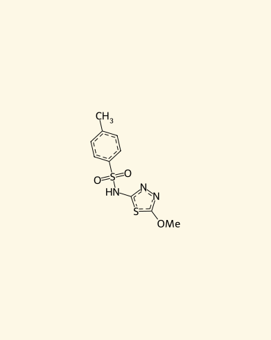 COc1nnc(NS(=O)(=O)c2ccc(C)cc2)s1